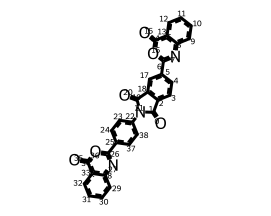 O=C1c2ccc(-c3nc4ccccc4c(=O)o3)cc2C(=O)N1c1ccc(-c2nc3ccccc3c(=O)o2)cc1